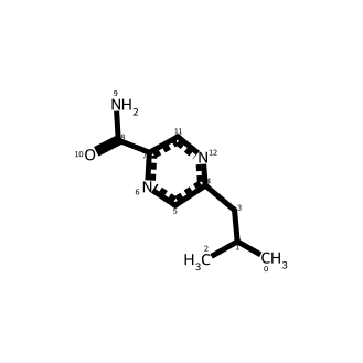 CC(C)Cc1cnc(C(N)=O)cn1